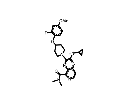 COc1ccc(OC2CCN(c3nc4c(C(=O)N(C)C)nccc4nc3NC3CC3)CC2)c(F)c1